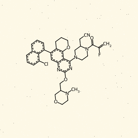 C=C(F)C(=O)N1CCN(c2nc(OCC3COCCN3C)nc3cc(-c4cccc5cccc(Cl)c45)c4c(c23)OCCC4)CC1CC#N